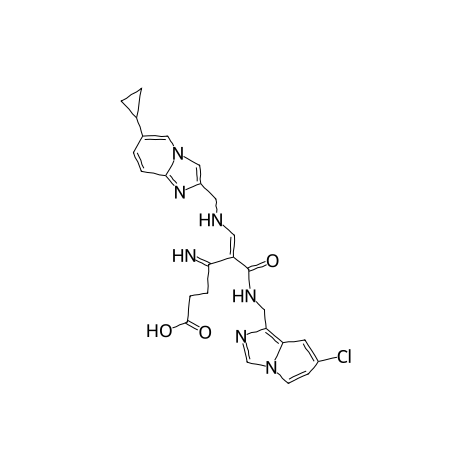 N=C(CCC(=O)O)/C(=C\NCc1cn2cc(C3CC3)ccc2n1)C(=O)NCc1ncn2ccc(Cl)cc12